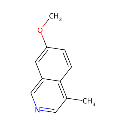 COc1ccc2c(C)cncc2c1